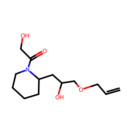 C=CCOCC(O)CC1CCCCN1C(=O)CO